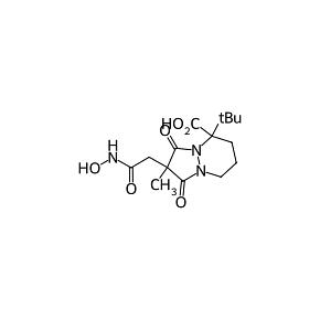 CC1(CC(=O)NO)C(=O)N2CCCC(C(=O)O)(C(C)(C)C)N2C1=O